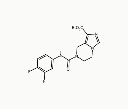 CCOC(=O)c1ncn2c1CN(C(=O)Nc1ccc(F)c(F)c1)CC2